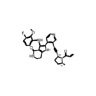 C=CC(=O)N1[C@H](C#Cc2cnccc2-c2[nH]c3c(c2Nc2cccc(F)c2OC)C(=O)NCC3)CC[C@@H]1C